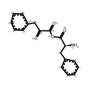 N[C@@H](Cc1ccccc1)C(=O)OC(=O)C(=O)Cc1ccccc1